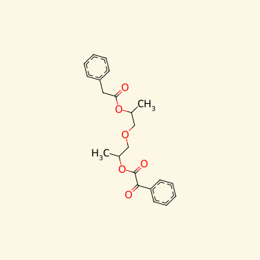 CC(COCC(C)OC(=O)C(=O)c1ccccc1)OC(=O)Cc1ccccc1